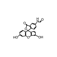 O=CNc1ccc2c(c1)C(=O)OC21c2ccc(O)cc2Oc2cc(O)ccc21